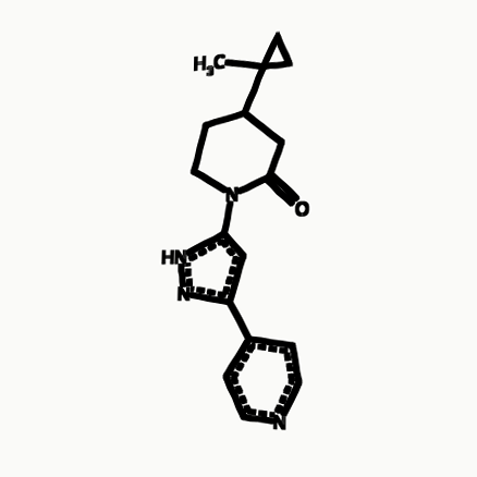 CC1(C2CCN(c3cc(-c4ccncc4)n[nH]3)C(=O)C2)CC1